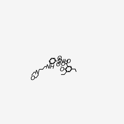 CCc1cc(CC)c(OC)c(C(=O)ONS(=O)(=O)c2cccc(NCCCN3CCOCC3)c2)c1